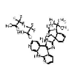 CCC1(c2nc3c([nH]2)-c2ccncc2Nc2ncccc2-3)C=CC=CC1N(C(=O)O)C(C)(C)C.O=C(O)C(F)(F)F.O=C(O)C(F)(F)F